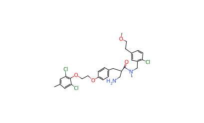 COCCc1ccc(Cl)c(CN(C)C(=O)C(CN)Cc2ccc(OCCOc3c(Cl)cc(C)cc3Cl)cc2)c1